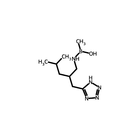 CB(O)NCC(Cc1nnn[nH]1)CC(C)C